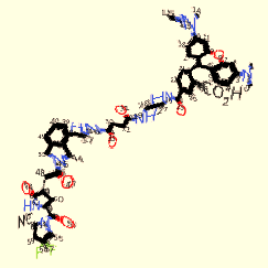 CN(C)c1ccc2c(c1)OC1=CC(N(C)C)C=CC1C2c1ccc(C(=O)NCCNC(=O)CCC(=O)NCc2cccc3c2CN(C(=O)C[C@@H]2C[C@@H](C(=O)N4CC(F)(F)CC4C#N)NC2=O)C3)cc1C(=O)O